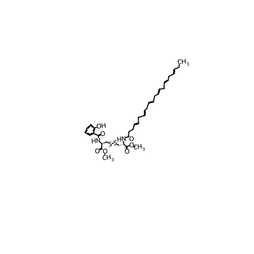 CCC=CCC=CCC=CCC=CCC=CCC=CCCC(=O)N[C@@H](CSSC[C@H](NC(=O)c1ccccc1O)C(=O)OC)C(=O)OC